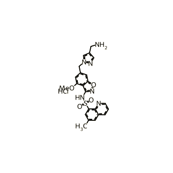 COc1cc(Cn2cc(CN)cn2)cc2onc(NS(=O)(=O)c3cc(C)cc4cccnc34)c12.Cl